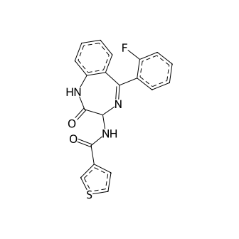 O=C(NC1N=C(c2ccccc2F)c2ccccc2NC1=O)c1ccsc1